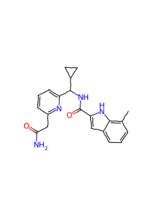 Cc1cccc2cc(C(=O)NC(c3cccc(CC(N)=O)n3)C3CC3)[nH]c12